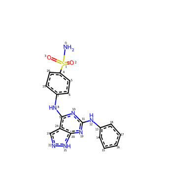 NS(=O)(=O)c1ccc(Nc2nc(Nc3ccccc3)nc3[nH]ncc23)cc1